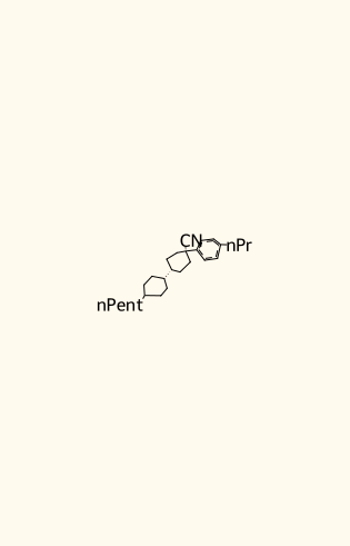 CCCCCC1CCC([C@H]2CC[C@](C#N)(c3ccc(CCC)cc3)CC2)CC1